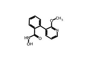 COc1ncccc1-c1ccccc1C(=O)NO